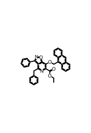 CCOC(=O)c1nc(Cc2ccccc2)c2c(-c3ccccc3)noc2c1OCc1c2ccccc2cc2ccccc12